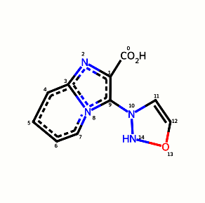 O=C(O)c1nc2ccccn2c1N1C=CON1